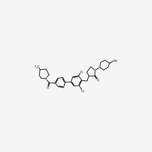 O=C(c1ccc(-c2cc(Cl)c(CC3CCN(N4CCC(O)CC4)C3=O)c(Cl)c2)cc1)N1CCC(C(F)(F)F)CC1